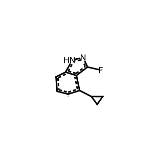 Fc1n[nH]c2cc[c]c(C3CC3)c12